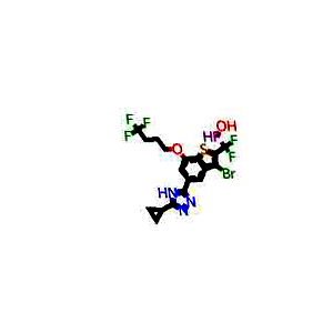 OPC(F)(F)c1sc2c(OCCCC(F)(F)F)cc(-c3nnc(C4CC4)[nH]3)cc2c1Br